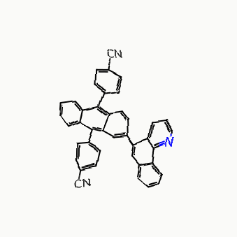 N#Cc1ccc(-c2c3ccccc3c(-c3ccc(C#N)cc3)c3cc(-c4cc5ccccc5c5ncccc45)ccc23)cc1